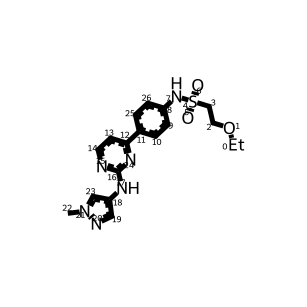 CCOCCS(=O)(=O)Nc1ccc(-c2ccnc(Nc3cnn(C)c3)n2)cc1